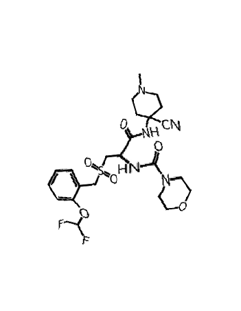 CN1CCC(C#N)(NC(=O)C(CS(=O)(=O)Cc2ccccc2OC(F)F)NC(=O)N2CCOCC2)CC1